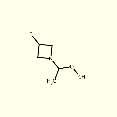 COC(C)N1CC(F)C1